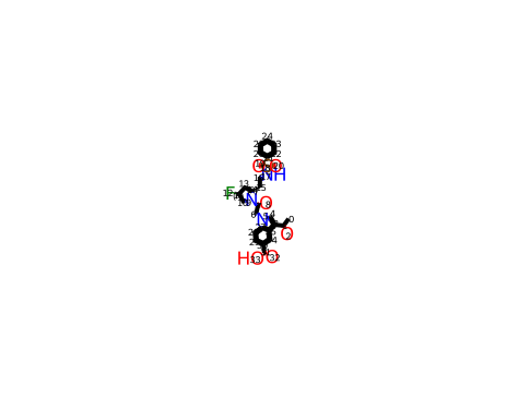 CC(=O)c1cn(CC(=O)N2C[C@H](F)C[C@H]2CCNS(=O)(=O)c2ccccc2)c2ccc(C(=O)O)cc12